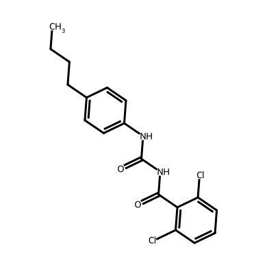 CCCCc1ccc(NC(=O)NC(=O)c2c(Cl)cccc2Cl)cc1